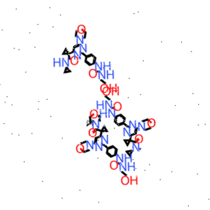 CN(C(=O)C1(c2cc(N3CCOCC3)nc(-c3ccc(NC(=O)NCCO)cc3)n2)CC1)C1CC1.C[C@H]1COCCN1C(=O)C1(c2cc(N3CCOCC3)nc(-c3ccc(NC(=O)NCCO)cc3)n2)CC1.O=C(NCCO)Nc1ccc(-c2nc(N3CCOCC3)cc(C3(C(=O)NC4CC4)CC3)n2)cc1